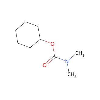 CN(C)C(=O)OC1CCCCC1